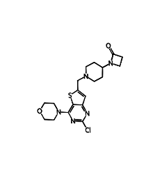 O=C1CCN1C1CCN(Cc2cc3nc(Cl)nc(N4CCOCC4)c3s2)CC1